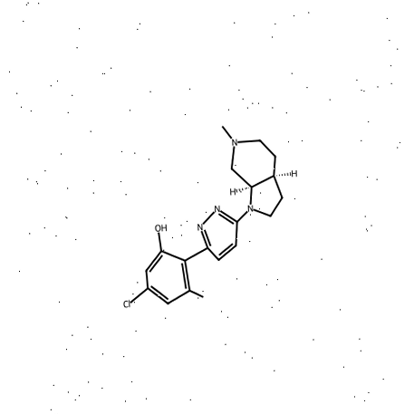 Cc1cc(Cl)cc(O)c1-c1ccc(N2CC[C@@H]3CCN(C)C[C@@H]32)nn1